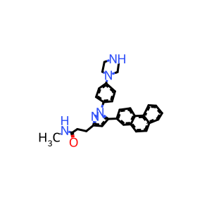 CNC(=O)CCc1cc(-c2ccc3c(ccc4ccccc43)c2)n(-c2ccc(N3CCNCC3)cc2)n1